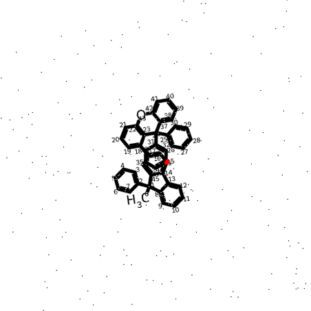 CC1(c2ccccc2)c2ccccc2-c2ccc(-c3cccc4c3C(c3ccccc3)(c3ccccc3)c3ccccc3O4)cc21